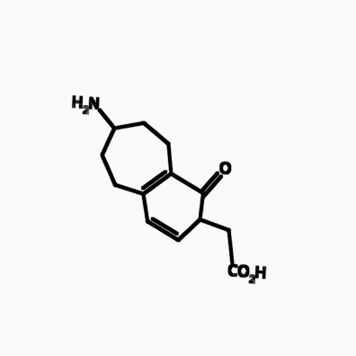 NC1CCC2=C(CC1)C(=O)C(CC(=O)O)C=C2